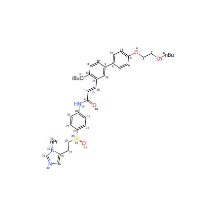 CCCCOCCOc1ccc(-c2ccc(OCC(C)C)c(/C=C/C(=O)Nc3ccc([S@@+]([O-])CCc4cncn4CCC)cc3)c2)cc1